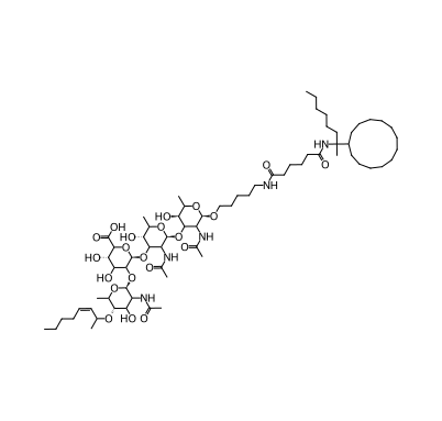 CCCC/C=C\C(C)O[C@@H]1C(C)O[C@@H](OC2C(O)[C@H](O)C(C(=O)O)O[C@H]2OC2C(NC(C)=O)[C@H](OC3C(NC(C)=O)[C@H](OCCCCCNC(=O)CCCCC(=O)NC(C)(CCCCCC)C4CCCCCCCCCCCC4)OC(C)[C@@H]3O)OC(C)[C@H]2O)C(NC(C)=O)C1O